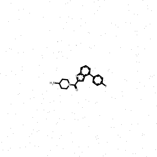 NC1CCN(C(=O)c2cc3c(-c4ccc(F)cc4)cccc3s2)CC1